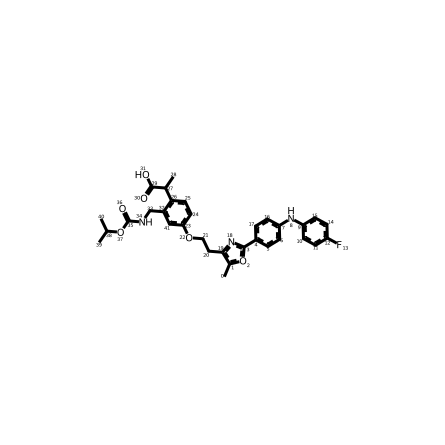 Cc1oc(-c2ccc(Nc3ccc(F)cc3)cc2)nc1CCOc1ccc(C(C)C(=O)O)c(CNC(=O)OC(C)C)c1